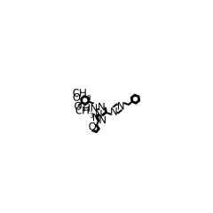 COc1ccc(CNc2ncc(CN3CCN(CCc4ccccc4)CC3)c3nc(-c4ccco4)nn23)cc1OC